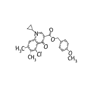 COc1ccc(COC(=O)c2cn(C3CC3)c3cc(C)c(C)c(Cl)c3c2=O)cc1